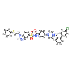 O=C(NS(=O)(=O)c1ccc2c(c1)ncn2CCSc1ccccc1)c1ccc(N2CCN(Cc3ccccc3-c3ccc(Cl)cc3)CC2)cc1